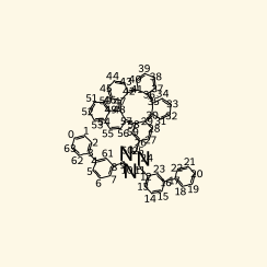 c1ccc(-c2cccc(-c3nc(-c4cccc(-c5ccccc5)c4)nc(-c4ccc5c6ccccc6c6ccccc6c6ccccc6c6c7ccccc7ccc6c5c4)n3)c2)cc1